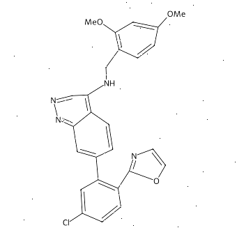 COc1ccc(CNc2cnnc3cc(-c4cc(Cl)ccc4-c4ncco4)ccc23)c(OC)c1